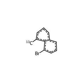 [13CH3]c1cccc2cccc(Br)c12